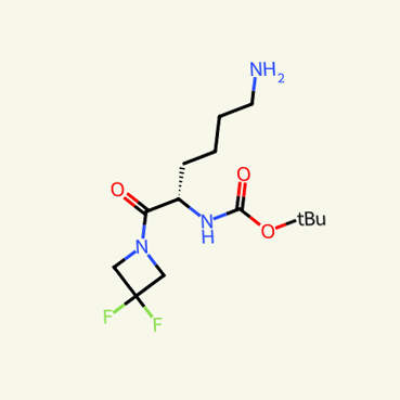 CC(C)(C)OC(=O)N[C@@H](CCCCN)C(=O)N1CC(F)(F)C1